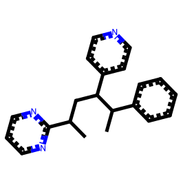 CC(CC(c1ccncc1)C(C)c1ccccc1)c1ncccn1